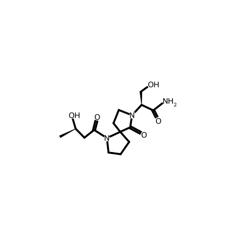 C[C@@H](O)CC(=O)N1CCCC12CCN([C@@H](CO)C(N)=O)C2=O